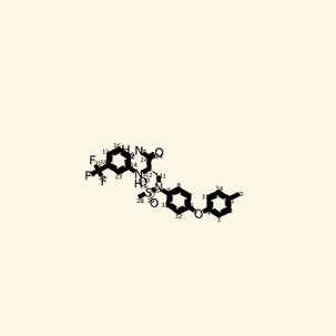 Cc1ccc(Oc2ccc(N(C[C@H](Nc3cccc(C(F)(F)F)c3)C(N)=O)S(C)(=O)=O)cc2)cc1